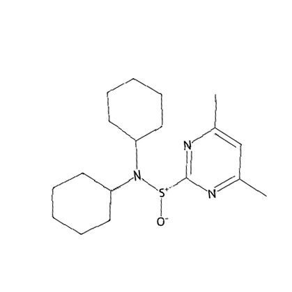 Cc1cc(C)nc([S+]([O-])N(C2CCCCC2)C2CCCCC2)n1